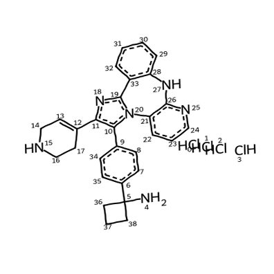 Cl.Cl.Cl.Cl.NC1(c2ccc(-c3c(C4=CCNCC4)nc4n3-c3cccnc3Nc3ccccc3-4)cc2)CCC1